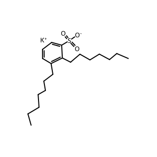 CCCCCCCc1cccc(S(=O)(=O)[O-])c1CCCCCCC.[K+]